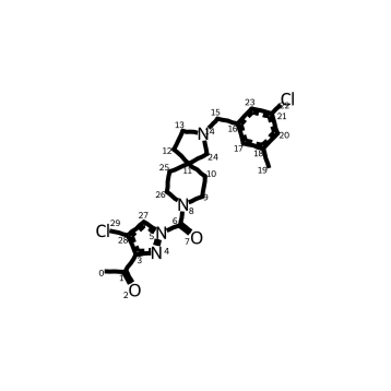 CC(=O)c1nn(C(=O)N2CCC3(CCN(Cc4cc(C)cc(Cl)c4)C3)CC2)cc1Cl